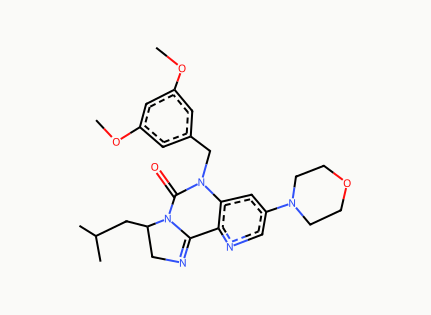 COc1cc(CN2C(=O)N3C(=NCC3CC(C)C)c3ncc(N4CCOCC4)cc32)cc(OC)c1